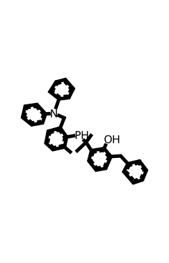 Cc1cccc(CN(c2ccccc2)c2ccccc2)c1PC(C)(C)c1cccc(Cc2ccccc2)c1O